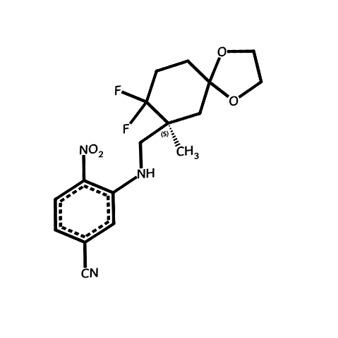 C[C@@]1(CNc2cc(C#N)ccc2[N+](=O)[O-])CC2(CCC1(F)F)OCCO2